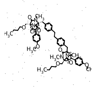 CCCCOC[C@@]12SC(c3ccc(OC)cc3)SC(Cc3ccc(CCc4ccc(C[C@@]56SC(c7ccc(OC)cc7)S[C@@](COCCCC)(C(=O)N5C)N(C)C6=O)cc4)cc3)(C(=O)N1C)N(C)C2=O